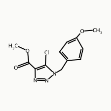 COC(=O)c1nnn(Cc2ccc(OC)cc2)c1Cl